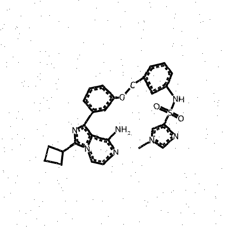 Cn1cnc(S(=O)(=O)Nc2cccc(COc3cccc(-c4nc(C5CCC5)n5ccnc(N)c45)c3)c2)c1